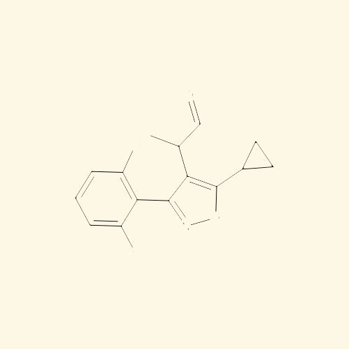 CC(C=O)c1c(-c2c(Cl)cccc2Cl)noc1C1CC1